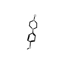 COc1ccc(N2CCN(Cl)CC2)cc1